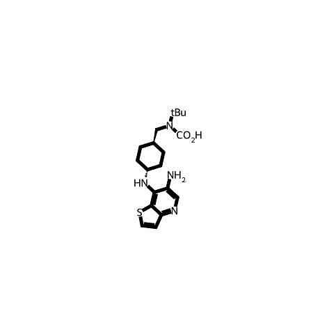 CC(C)(C)N(C[C@H]1CC[C@H](Nc2c(N)cnc3ccsc23)CC1)C(=O)O